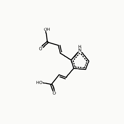 O=C(O)C=Cc1cc[nH]c1C=CC(=O)O